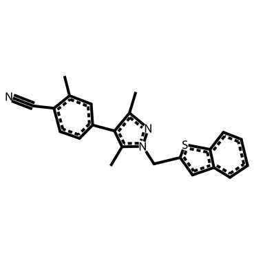 Cc1cc(-c2c(C)nn(Cc3cc4ccccc4s3)c2C)ccc1C#N